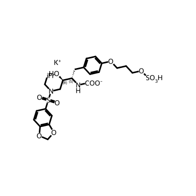 CC(C)CN(C[C@@H](O)[C@H](Cc1ccc(OCCCOS(=O)(=O)O)cc1)NC(=O)[O-])S(=O)(=O)c1ccc2c(c1)OCO2.[K+]